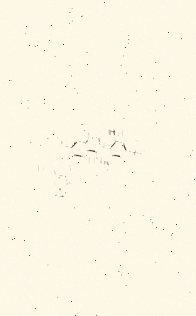 COc1cc2nc(C)nc(N[C@H](C)c3cc(N)cc(C(F)(F)F)c3)c2cc1OCC1CC2(CC2)CN1C